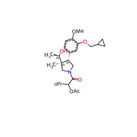 CCCC(OC(C)=O)C(=O)N1C[C@@H](c2ccc(OC)c(OCC3CC3)c2)[C@](C)([C@@H](C)O)C1